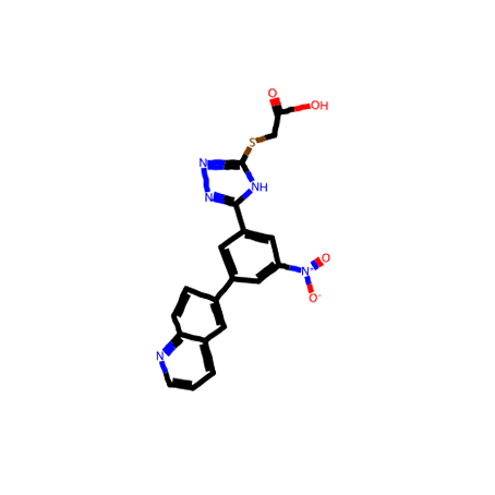 O=C(O)CSc1nnc(-c2cc(-c3ccc4ncccc4c3)cc([N+](=O)[O-])c2)[nH]1